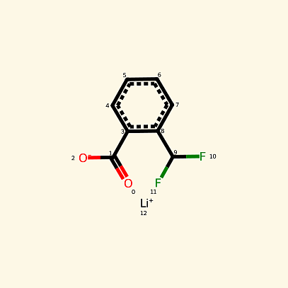 O=C([O-])c1ccccc1C(F)F.[Li+]